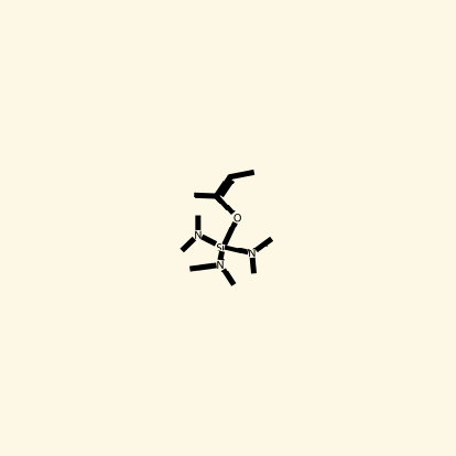 CC=C(C)O[Si](N(C)C)(N(C)C)N(C)C